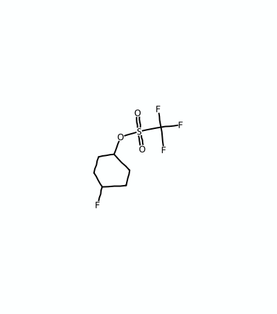 O=S(=O)(OC1CCC(F)CC1)C(F)(F)F